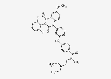 CCN(CC)CCN(C)C(=O)c1ccc(Nc2nccc(N(C(=O)Oc3c(F)cccc3F)c3ccc(OC)cc3OC)n2)cc1